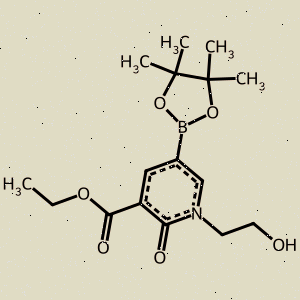 CCOC(=O)c1cc(B2OC(C)(C)C(C)(C)O2)cn(CCO)c1=O